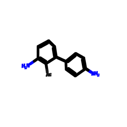 CC(=O)c1c(N)cccc1-c1ccc(N)cc1